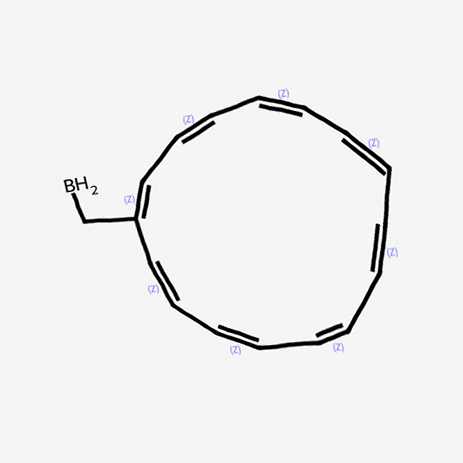 BCC1=C/C=C\C=C/C=C\C=C/C=C\C=C/C=C\1